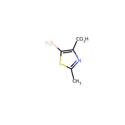 Bc1sc(C)nc1C(=O)O